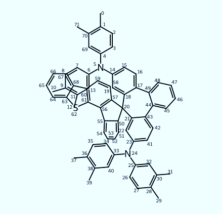 Cc1ccc(N(c2ccc(C)c(C)c2)c2ccc3c(c2)C2(c4cc(N(c5ccc(C)c(C)c5)c5ccc(C)c(C)c5)ccc4-c4ccccc4-3)c3ccccc3-c3c2ccc2c3sc3ccccc32)cc1C